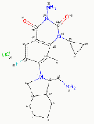 Cc1c(N2CC3CCCCC3C2CN)c(F)cc2c(=O)n(N)c(=O)n(C3CC3)c12.Cl